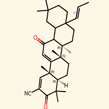 C/C=C/C12CCC(C)(C)CC1C1C(=O)C=C3[C@@]4(C)C=C(C#N)C(=O)C(C)(C)[C@@H]4CC[C@@]3(C)[C@]1(C)CC2